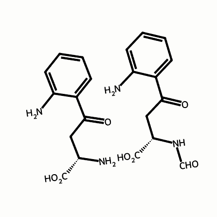 Nc1ccccc1C(=O)C[C@H](N)C(=O)O.Nc1ccccc1C(=O)C[C@H](NC=O)C(=O)O